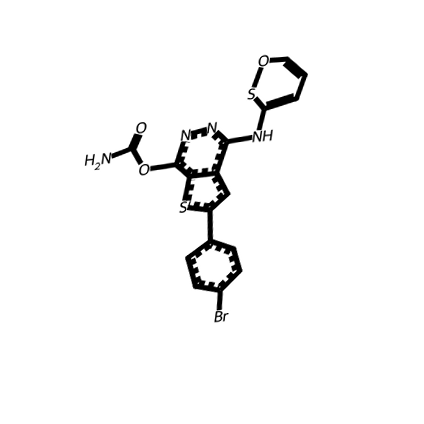 NC(=O)Oc1nnc(NC2=CC=COS2)c2cc(-c3ccc(Br)cc3)sc12